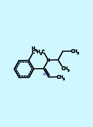 C/C=C(/c1ccccc1C)N(C)C(C)CC